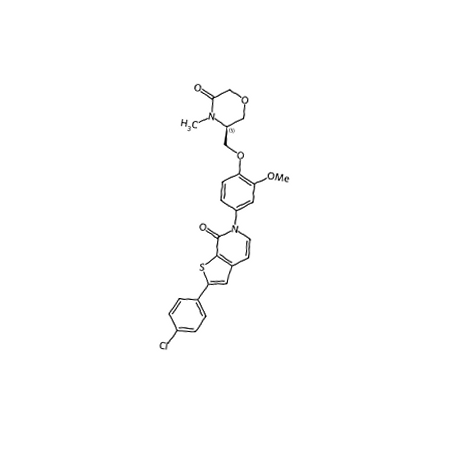 COc1cc(-n2ccc3cc(-c4ccc(Cl)cc4)sc3c2=O)ccc1OC[C@@H]1COCC(=O)N1C